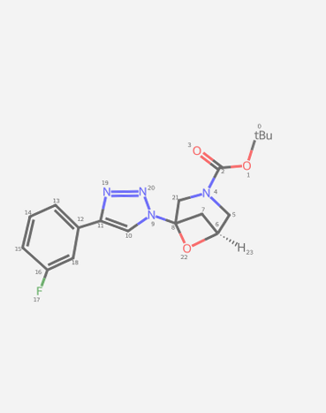 CC(C)(C)OC(=O)N1C[C@@H]2CC(n3cc(-c4cccc(F)c4)nn3)(C1)O2